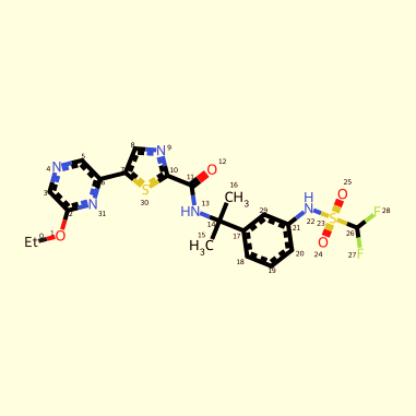 CCOc1cncc(-c2cnc(C(=O)NC(C)(C)c3cccc(NS(=O)(=O)C(F)F)c3)s2)n1